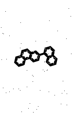 [c]1cccc2cccc(-c3ccc4c(ccc5ccccc54)c3)c12